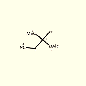 COC(C)(CC#N)OC